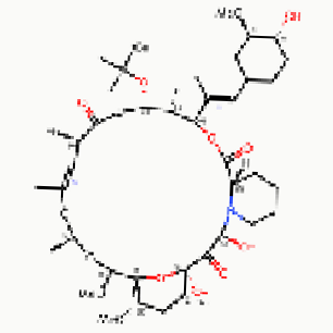 CC[C@@H]1/C=C(\C)C[C@H](C)C[C@H](OC)[C@H]2O[C@@](O)(C(=O)[C@H](O)N3CCCC[C@H]3C(=O)O[C@H](/C(C)=C/C3CC[C@@H](O)[C@H](OC)C3)[C@@H](C)[C@@H](O[Si](C)(C)C(C)(C)C)CC1=O)[C@H](C)C[C@@H]2OC